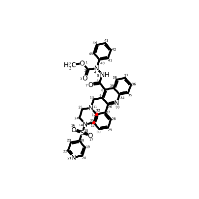 COC(=O)N(NC(=O)c1c(CN2CCN(S(=O)(=O)c3ccncc3)CC2)c(-c2ccccc2)nc2ccccc12)c1ccccc1